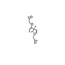 C=C[C@@]1(C)C(OCC2CO2)=CC[C@H]1OCC1CO1